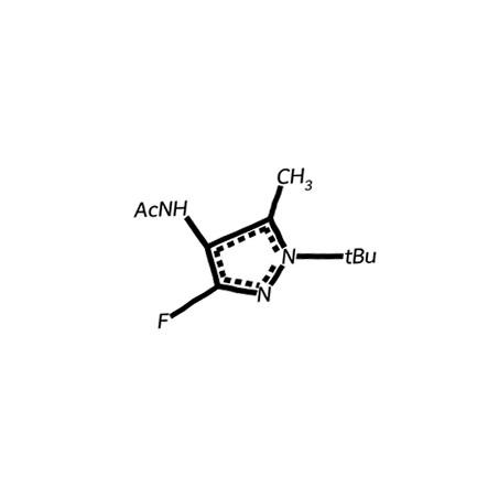 CC(=O)Nc1c(F)nn(C(C)(C)C)c1C